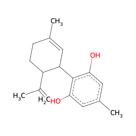 C=C(C)C1CCC(C)=CC1c1c(O)cc(C)cc1O